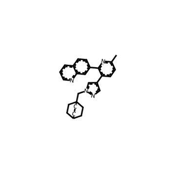 Cc1ccc(-c2cnn(CC34CCC(CC3)CC4)c2)c(-c2ccc3cccnc3c2)n1